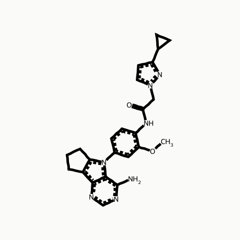 COc1cc(-n2c3c(c4ncnc(N)c42)CCC3)ccc1NC(=O)Cn1ccc(C2CC2)n1